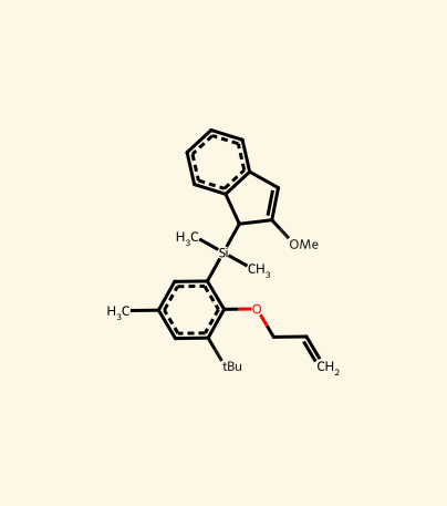 C=CCOc1c(C(C)(C)C)cc(C)cc1[Si](C)(C)C1C(OC)=Cc2ccccc21